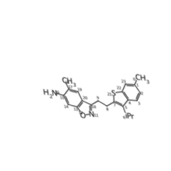 Cc1ccc2c(C(C)C)c(CCc3noc4cc(N)c(C)cc34)sc2c1